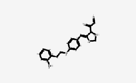 O=CC(=O)C1NCSC1=Cc1ccc(OCCc2ccccc2O)cc1